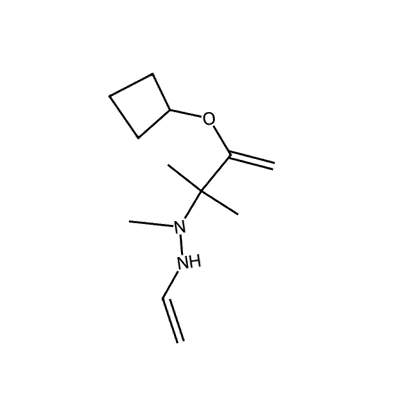 C=CNN(C)C(C)(C)C(=C)OC1CCC1